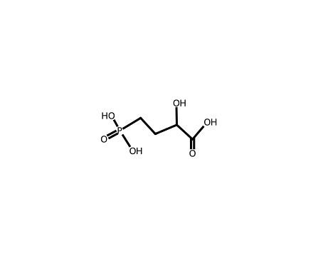 O=C(O)C(O)CCP(=O)(O)O